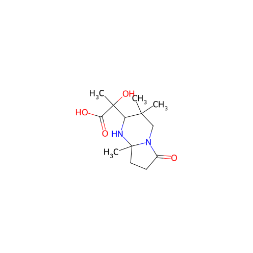 CC1(C)CN2C(=O)CCC2(C)NC1C(C)(O)C(=O)O